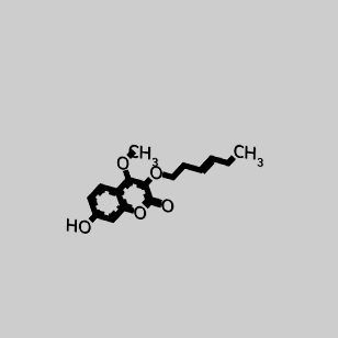 CC/C=C/CCOc1c(OC)c2ccc(O)cc2oc1=O